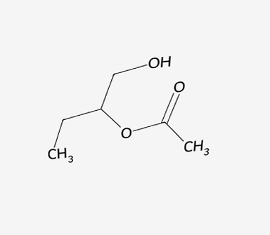 CCC(CO)OC(C)=O